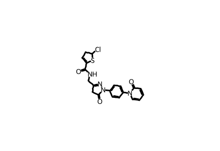 O=C(NCC1=NN(c2ccc(-n3ccccc3=O)cc2)C(=O)C1)C1=CCC(Cl)S1